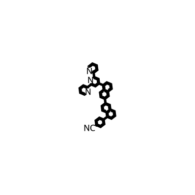 N#Cc1ccc(-c2cccc3cc(-c4ccc5c(-c6cc(-c7ccccn7)nc(-c7ccccn7)c6)cccc5c4)ccc23)cc1